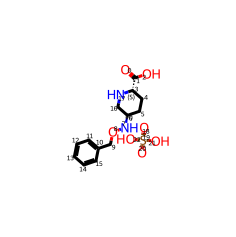 O=C(O)[C@@H]1CC[C@@H](NOCc2ccccc2)CN1.O=S(=O)(O)O